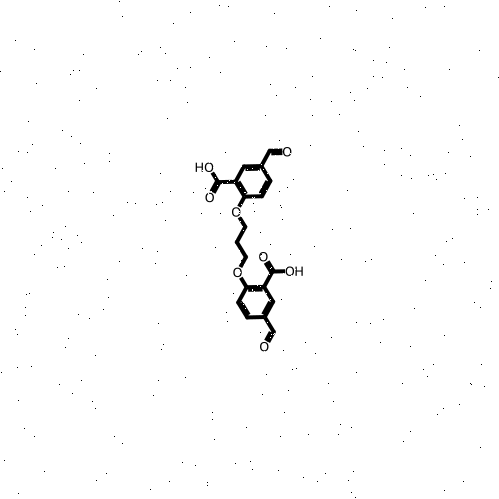 O=Cc1ccc(OCCCOc2ccc(C=O)cc2C(=O)O)c(C(=O)O)c1